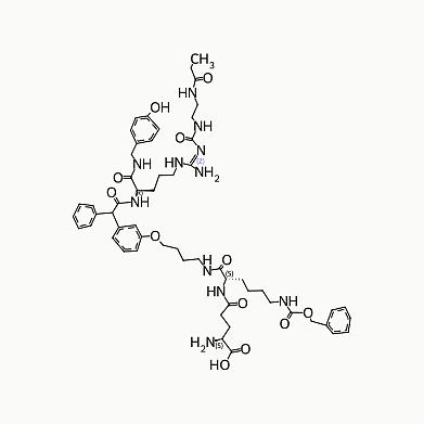 CCC(=O)NCCNC(=O)/N=C(/N)NCCC[C@@H](NC(=O)C(c1ccccc1)c1cccc(OCCCCNC(=O)[C@H](CCCCNC(=O)OCc2ccccc2)NC(=O)CC[C@H](N)C(=O)O)c1)C(=O)NCc1ccc(O)cc1